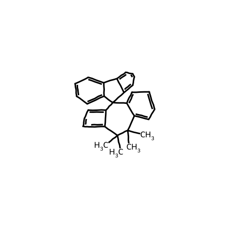 CC1(C)c2ccccc2C2(c3ccccc3-c3ccccc32)c2ccccc2C1(C)C